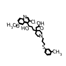 COc1ccc2ncc(Cl)c(C(O)CCC3(CC(=O)O)CCN(CCCSc4cccc(C)c4)CC3)c2c1